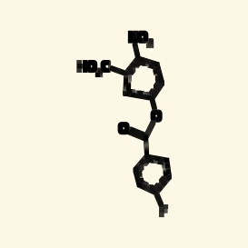 O=C(Oc1ccc([N+](=O)[O-])c(C(=O)O)c1)c1ccc(F)cc1